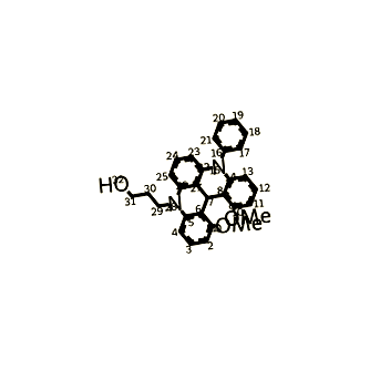 COc1cccc2c1C1c3c(OC)cccc3N(c3ccccc3)c3cccc(c31)N2CCCO